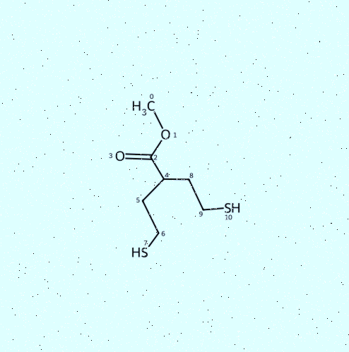 COC(=O)C(CCS)CCS